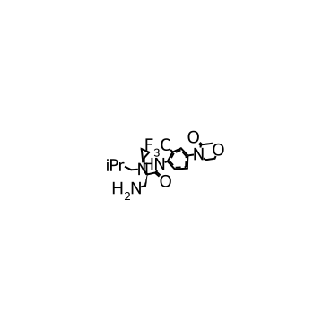 CC(C)CN(C1CC1)[C@H](CN)C(=O)Nc1ccc(N2CCOCC2=O)cc1C(F)(F)F